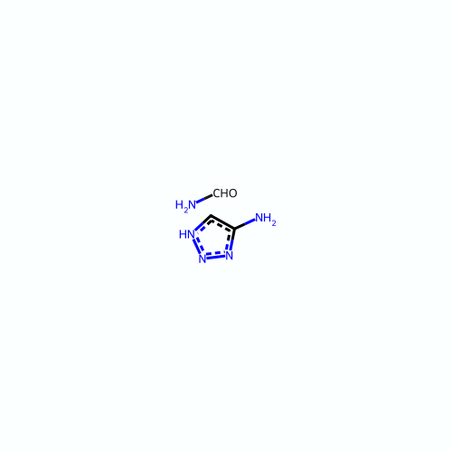 NC=O.Nc1c[nH]nn1